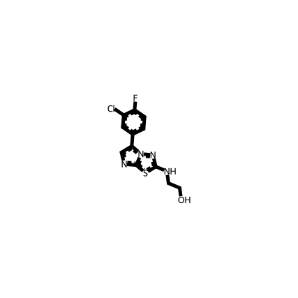 OCCNc1nn2c(-c3ccc(F)c(Cl)c3)cnc2s1